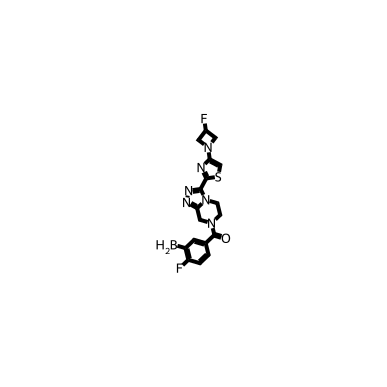 Bc1cc(C(=O)N2CCn3c(nnc3-c3nc(N4CC(F)C4)cs3)C2)ccc1F